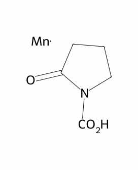 O=C(O)N1CCCC1=O.[Mn]